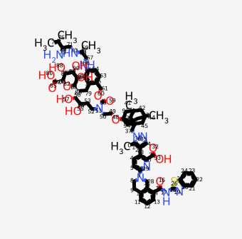 Cc1c(-c2ccc(N3CCc4cccc(C(=O)Nc5nc6ccccc6s5)c4C3)nc2C(=O)O)cnn1CC12CC3(C)CC(C)(C1)CC(OCCN(CC[C@H](O)CO)C(=O)OCc1ccc(NC[C@H](C)NC[C@@H](N)C(C)C)cc1CC[C@@H]1O[C@H](C(=O)O)[C@@H](O)[C@H](O)[C@H]1O)(C3)C2